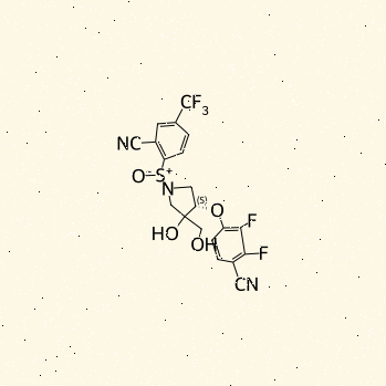 N#Cc1cc(C(F)(F)F)ccc1[S+]([O-])N1C[C@H](Oc2ccc(C#N)c(F)c2F)C(O)(CO)C1